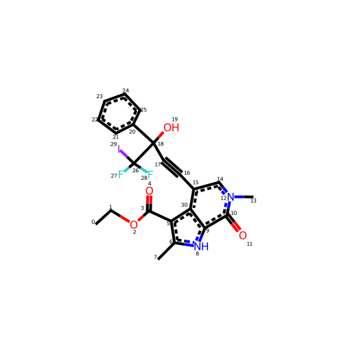 CCOC(=O)c1c(C)[nH]c2c(=O)n(C)cc(C#CC(O)(c3ccccc3)C(F)(F)I)c12